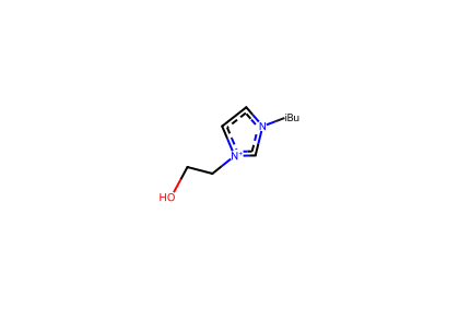 CCC(C)n1cc[n+](CCO)c1